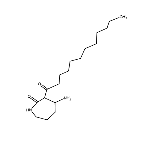 CCCCCCCCCCCC(=O)C1C(=O)NCCCC1N